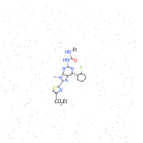 CCNC(=O)Nc1nc(-c2ccccc2F)c2nc(-c3nc(C(=O)OCC)cs3)n(C)c2n1